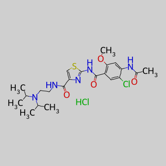 COc1cc(NC(C)=O)c(Cl)cc1C(=O)Nc1nc(C(=O)NCCN(C(C)C)C(C)C)cs1.Cl